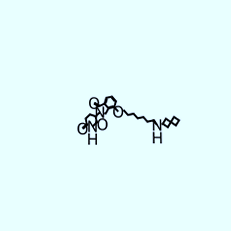 O=C1CCC(N2Cc3c(OCCCCCCCNC4CC5(CCC5)C4)cccc3C2=O)C(=O)N1